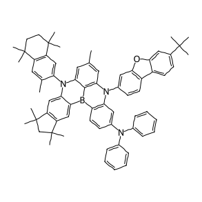 Cc1cc2c3c(c1)N(c1cc4c(cc1C)C(C)(C)CCC4(C)C)c1cc4c(cc1B3c1ccc(N(c3ccccc3)c3ccccc3)cc1N2c1ccc2c(c1)oc1cc(C(C)(C)C)ccc12)C(C)(C)CC4(C)C